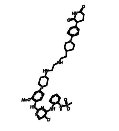 COc1cc(N2CCC(NCCNCCC3CCN(c4ccc(C5CCC(=O)NC5=O)cc4)CC3)CC2)ccc1Nc1ncc(Cl)c(Nc2ccccc2N(C)S(C)(=O)=O)n1